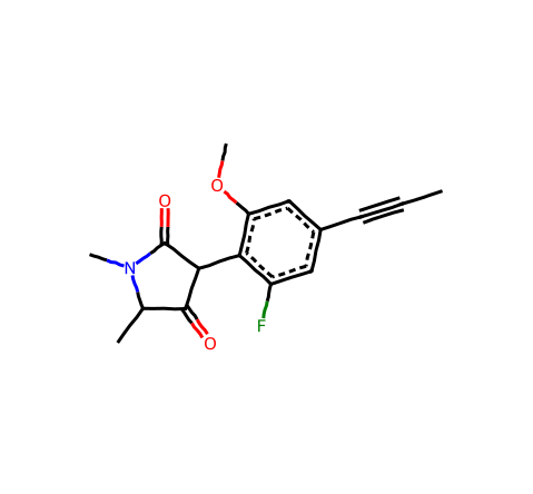 CC#Cc1cc(F)c(C2C(=O)C(C)N(C)C2=O)c(OC)c1